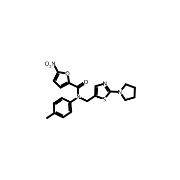 Cc1ccc(N(Cc2cnc(N3CCCC3)s2)C(=O)c2ccc([N+](=O)[O-])o2)cc1